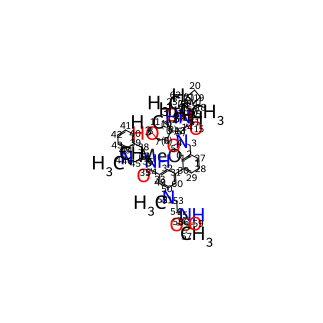 COc1c(CN2O[C@@H](CO)[C@@H]([C@H](C)O)[C@H]2C(=O)N[C@H]2CC3C[C@@H]([C@@H]2C)C3(C)C)cccc1-c1cc(C(=O)N[C@@H](Cc2ccccc2)CN(C)C)cc(N(C)CCNS(C)(=O)=O)c1